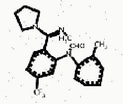 C/N=C(\c1ccc(C(F)(F)F)cc1N(C=O)c1ccccc1C)N1CCCC1